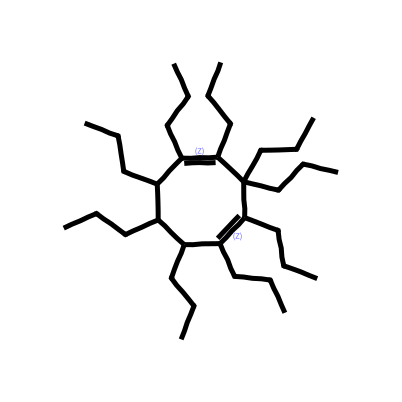 CCC/C1=C(\CCC)C(CCC)(CCC)/C(CCC)=C(/CCC)C(CCC)C(CCC)C1CCC